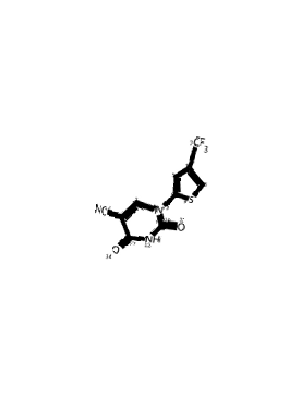 N#Cc1cn(-c2cc(C(F)(F)F)cs2)c(=O)[nH]c1=O